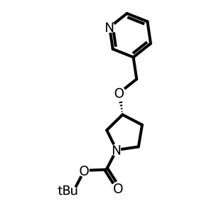 CC(C)(C)OC(=O)N1CC[C@@H](OCc2cccnc2)C1